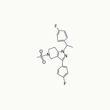 CC(c1ccc(F)cc1)n1nc(-c2ccc(F)cc2)c2c1CCN(S(C)(=O)=O)C2